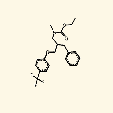 CCOC(=O)N(C)CC(COc1ccc(C(F)(F)F)cc1)Cc1ccccc1